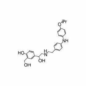 CC(C)Oc1ccc(Nc2ccc(CCNCC(O)c3ccc(O)c(CO)c3)cc2)cc1